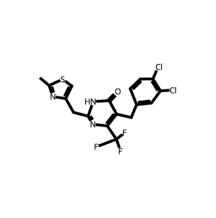 Cc1nc(Cc2nc(C(F)(F)F)c(Cc3ccc(Cl)c(Cl)c3)c(=O)[nH]2)cs1